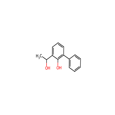 CC(O)c1cccc(-c2ccccc2)c1O